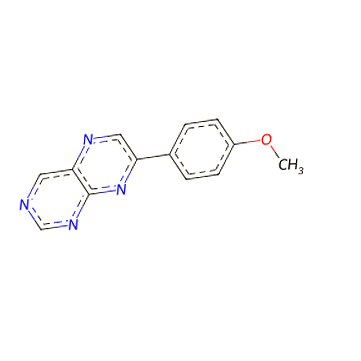 COc1ccc(-c2cnc3cncnc3n2)cc1